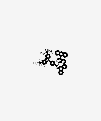 CC(C)(C)c1ccc2c(c1)c1cc(C(C)(C)C)ccc1n2-c1ccc(-c2nc3c4ccccc4c4ccccc4c3n2-c2ncc(-c3c4ccccc4cc4ccccc34)c3cccnc23)cc1